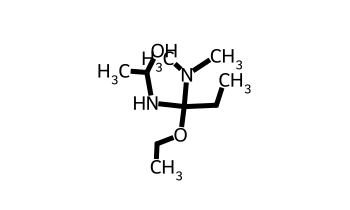 CCOC(CC)(NC(C)O)N(C)C